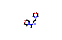 CC(NCCN1CCOCC1)N1CCOCC1